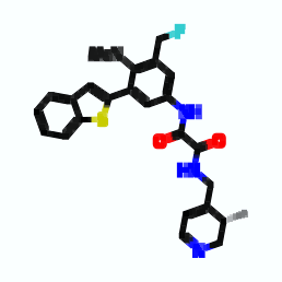 CNc1c(CF)cc(NC(=O)C(=O)NCC2=CC=NC[C@H]2C)cc1-c1cc2ccccc2s1